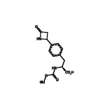 CC(C)(C)OC(=O)N[C@@H](Cc1ccc(C2CC(=O)N2)cc1)C(=O)O